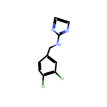 Clc1ccc(CNc2ncccn2)cc1Cl